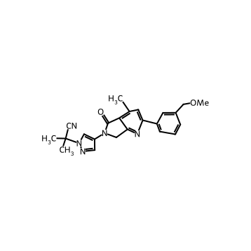 COCc1cccc(-c2cc(C)c3c(n2)CN(c2cnn(C(C)(C)C#N)c2)C3=O)c1